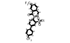 CCS(=O)(=O)c1cc(-c2ccc(C(F)(F)F)cc2)cnc1-n1ncc2ccc(C(F)(F)F)cc2c1=O